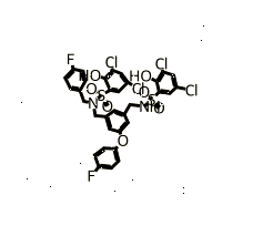 O=S(=O)(NCc1cc(CN(Cc2ccc(F)cc2)S(=O)(=O)c2cc(Cl)cc(Cl)c2O)cc(Oc2ccc(F)cc2)c1)c1cc(Cl)cc(Cl)c1O